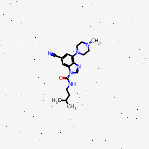 CC(C)CCNC(=O)n1cnc2c(N3CCN(C)CC3)cc(C#N)cc21